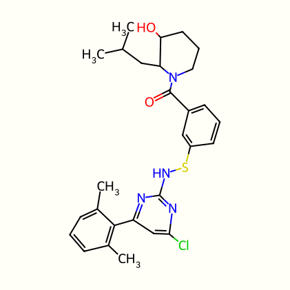 Cc1cccc(C)c1-c1cc(Cl)nc(NSc2cccc(C(=O)N3CCCC(O)C3CC(C)C)c2)n1